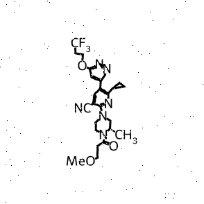 COCCC(=O)N1CCN(c2nc(C3CC3)c(-c3cnnc(OCCC(F)(F)F)c3)cc2C#N)C[C@H]1C